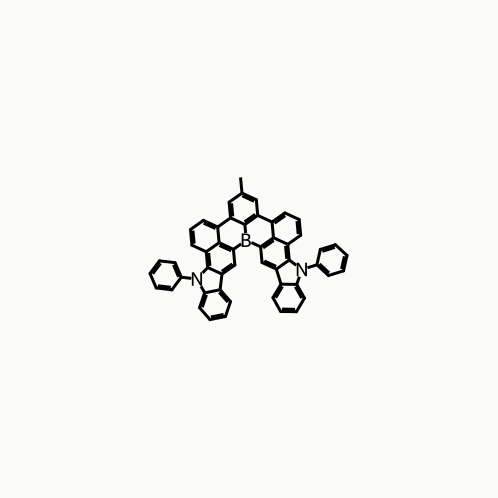 Cc1cc2c3c(c1)-c1cccc4c1c(cc1c5ccccc5n(-c5ccccc5)c41)B3c1cc3c4ccccc4n(-c4ccccc4)c3c3cccc-2c13